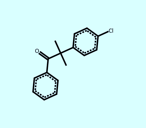 CC(C)(C(=O)c1ccccc1)c1ccc(Cl)cc1